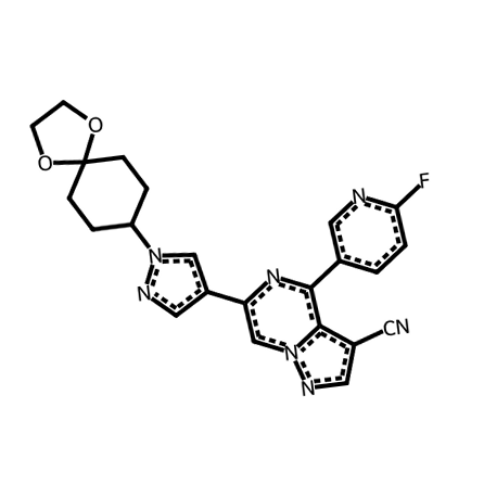 N#Cc1cnn2cc(-c3cnn(C4CCC5(CC4)OCCO5)c3)nc(-c3ccc(F)nc3)c12